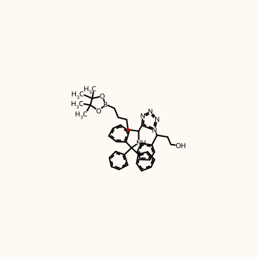 CC1(C)OB(CCCCC(NC(c2ccccc2)(c2ccccc2)c2ccccc2)c2nnnn2C(CCO)c2ccccc2)OC1(C)C